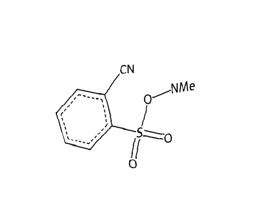 CNOS(=O)(=O)c1ccccc1C#N